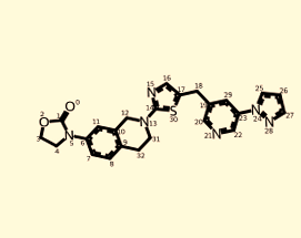 O=C1OCCN1c1ccc2c(c1)CN(c1ncc(Cc3cncc(-n4cccn4)c3)s1)CC2